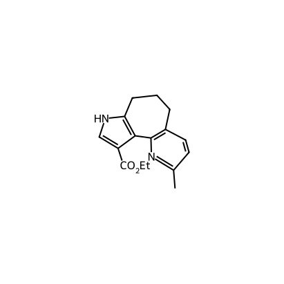 CCOC(=O)c1c[nH]c2c1-c1nc(C)ccc1CCC2